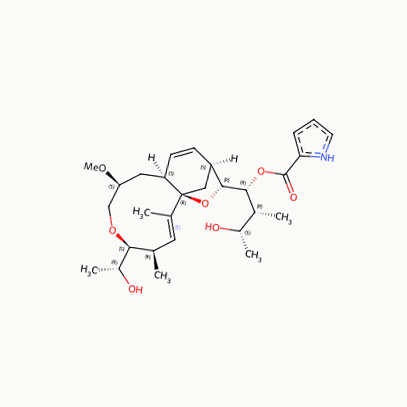 CO[C@@H]1CO[C@H]([C@@H](C)O)[C@H](C)/C=C(\C)[C@@]23C[C@@H](C=C[C@@H]2C1)[C@H]([C@H](OC(=O)c1ccc[nH]1)[C@H](C)[C@H](C)O)O3